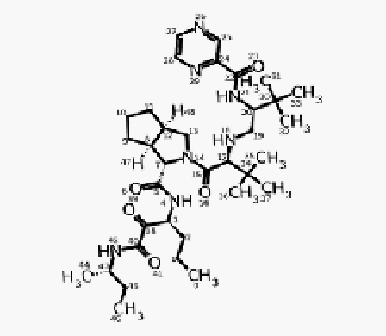 CCC[C@H](NC(=O)[C@@H]1[C@H]2CCC[C@H]2CN1C(=O)[C@@H](NC[C@@H](NC(=O)c1cnccn1)C(C)(C)C)C(C)(C)C)C(=O)C(=O)N[C@@H](C)CC